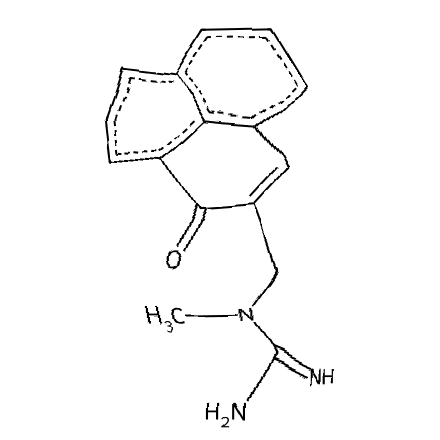 CN(CC1=Cc2cccc3cccc(c23)C1=O)C(=N)N